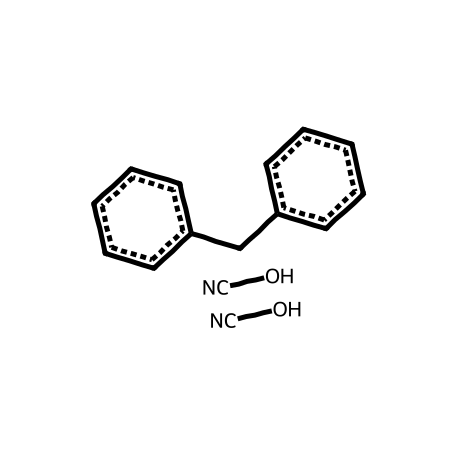 N#CO.N#CO.c1ccc(Cc2ccccc2)cc1